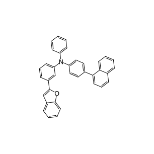 c1ccc(N(c2ccc(-c3cccc4ccccc34)cc2)c2cccc(-c3cc4ccccc4o3)c2)cc1